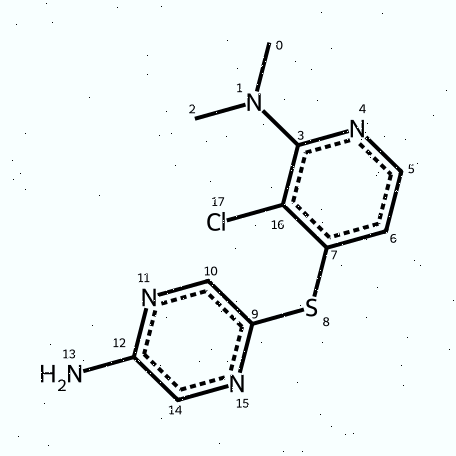 CN(C)c1nccc(Sc2cnc(N)cn2)c1Cl